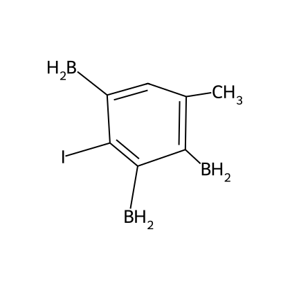 Bc1cc(C)c(B)c(B)c1I